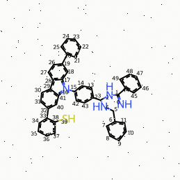 N=C(NC(NCc1ccccc1)c1ccc(-n2c3cc(-c4ccccc4)ccc3c3ccc(-c4ccccc4S)cc32)cc1)c1ccccc1